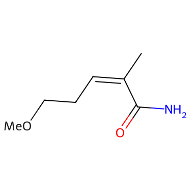 COCCC=C(C)C(N)=O